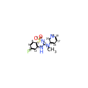 CN(C1=NS(=O)(=O)c2ccc(F)cc2N1)c1cccnc1